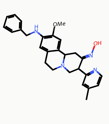 COc1cc2c(cc1NCc1ccccc1)CCN1CC(c3cc(C)ccn3)C(=NO)CC21